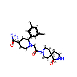 Cc1cc(C)cc(C2CC(C(N)=O)CCN2CC(=O)N2CCC3(CCNC3=O)CC2)c1